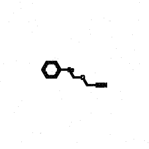 N#CCOC[Se]c1ccccc1